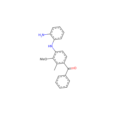 COc1c(Nc2ccccc2N)ccc(C(=O)c2ccccc2)c1C